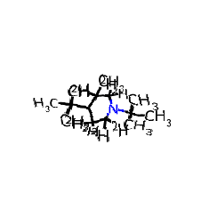 [2H]C1([2H])C(C(C)(C)C)C([2H])(C)C([2H])([2H])N(C(C)(C)C)C1([2H])[2H]